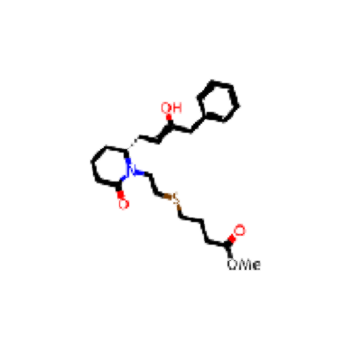 COC(=O)CCCSCCN1C(=O)CCC[C@@H]1C/C=C(\O)Cc1ccccc1